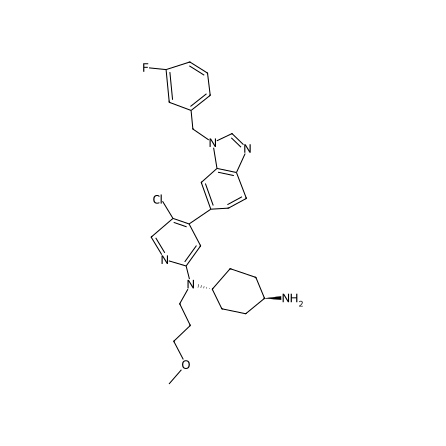 COCCCN(c1cc(-c2ccc3ncn(Cc4cccc(F)c4)c3c2)c(Cl)cn1)[C@H]1CC[C@H](N)CC1